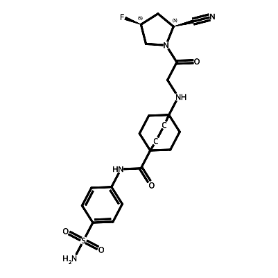 N#C[C@@H]1C[C@H](F)CN1C(=O)CNC12CCC(C(=O)Nc3ccc(S(N)(=O)=O)cc3)(CC1)CC2